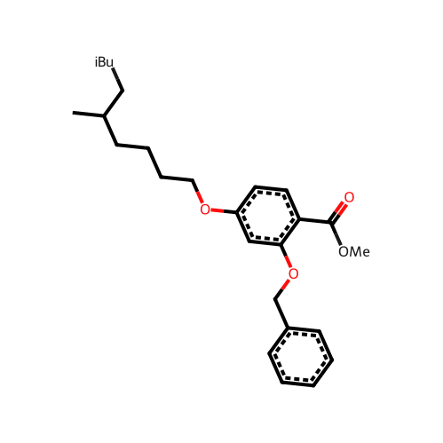 CCC(C)CC(C)CCCCOc1ccc(C(=O)OC)c(OCc2ccccc2)c1